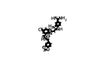 N=C(N)c1ccc2[nH]c(Cc3nc4c(S(=O)(=O)NCc5ccc6c(c5)OCO6)cc(Cl)cc4[nH]3)nc2c1